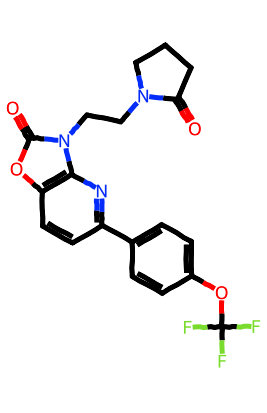 O=C1CCCN1CCn1c(=O)oc2ccc(-c3ccc(OC(F)(F)F)cc3)nc21